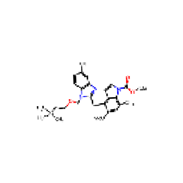 COc1cc(C)c2c(ccn2C(=O)OC(C)(C)C)c1Cc1nc2cc(C#N)ccc2n1COCC[Si](C)(C)C